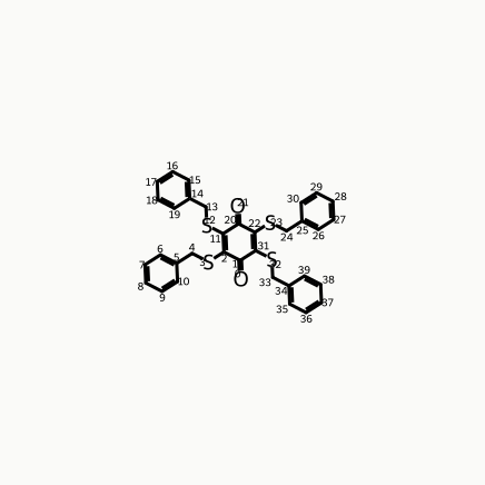 O=C1C(SCc2ccccc2)=C(SCc2ccccc2)C(=O)C(SCc2ccccc2)=C1SCc1ccccc1